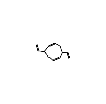 C=CC1C=CCC(C=C)C=CC1